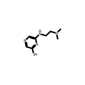 CC(C)c1cncc(NCCN(C)C)n1